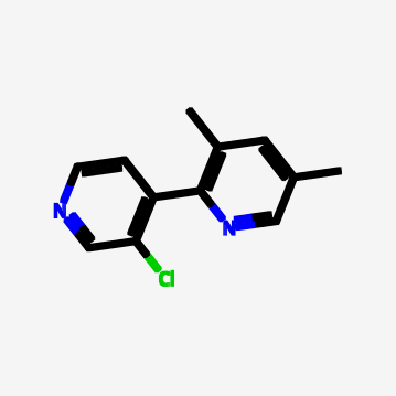 Cc1cnc(-c2ccncc2Cl)c(C)c1